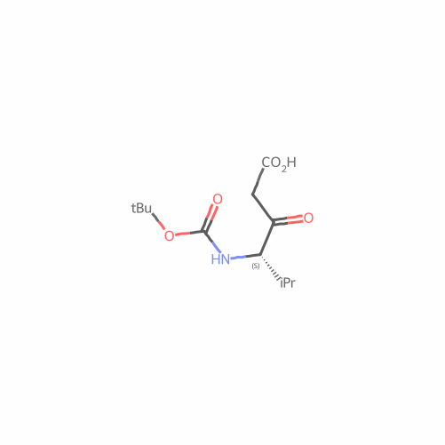 CC(C)[C@H](NC(=O)OC(C)(C)C)C(=O)CC(=O)O